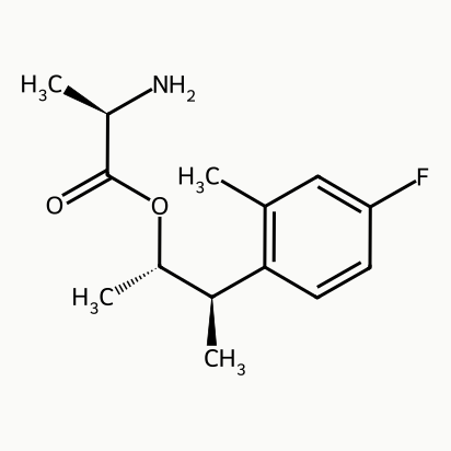 Cc1cc(F)ccc1[C@@H](C)[C@H](C)OC(=O)[C@@H](C)N